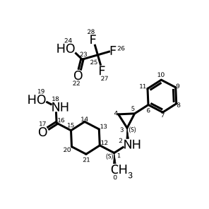 C[C@H](N[C@H]1CC1c1ccccc1)C1CCC(C(=O)NO)CC1.O=C(O)C(F)(F)F